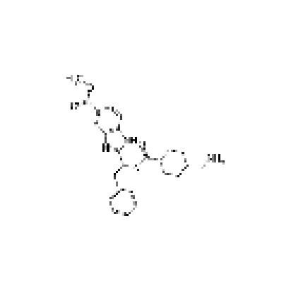 COC(=O)c1ccc2[nH]c([C@H](Cc3ccccc3)NC(=O)[C@H]3CC[C@H](CN)CC3)nc2c1